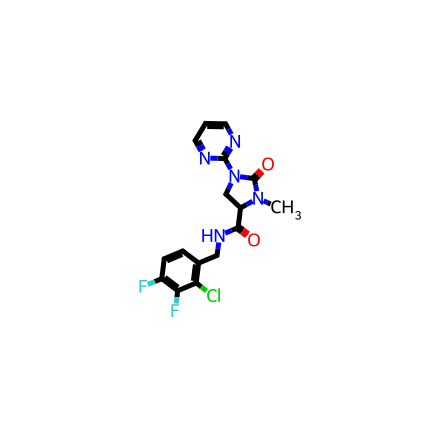 CN1C(=O)N(c2ncccn2)CC1C(=O)NCc1ccc(F)c(F)c1Cl